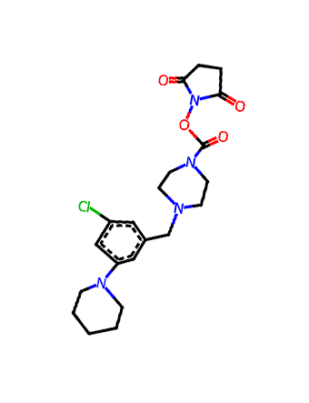 O=C(ON1C(=O)CCC1=O)N1CCN(Cc2cc(Cl)cc(N3CCCCC3)c2)CC1